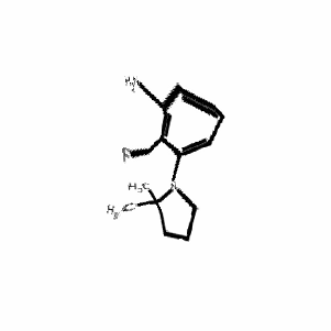 CC1(C)CC[CH]N1c1cccc(N)c1F